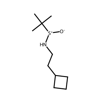 CC(C)(C)[S+]([O-])NCCC1CCC1